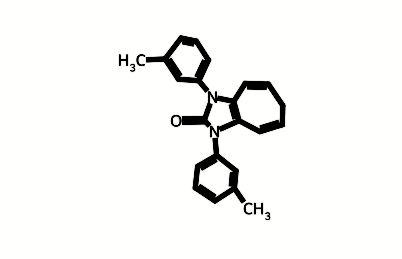 Cc1cccc(-n2c3c(n(-c4cccc(C)c4)c2=O)C=CCC=C3)c1